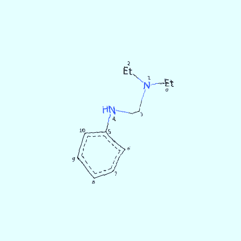 CCN(CC)CNc1ccccc1